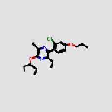 CCCOc1ccc(-c2nc(CC)c(OC(CC)CC)nc2CC)c(Cl)c1